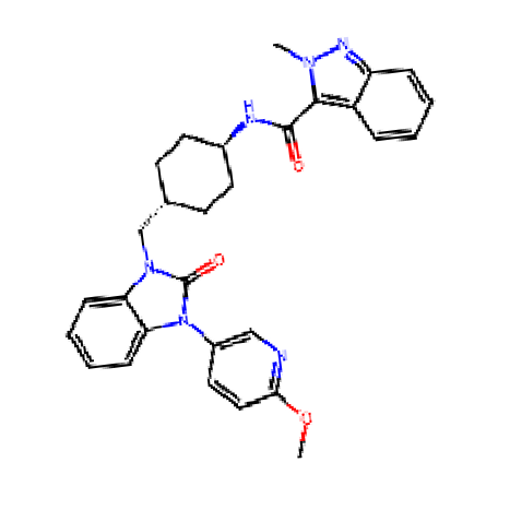 COc1ccc(-n2c(=O)n(C[C@H]3CC[C@H](NC(=O)c4c5ccccc5nn4C)CC3)c3ccccc32)cn1